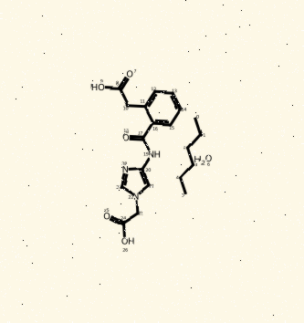 CCCCCC.O.O=C(O)Cc1ccccc1C(=O)Nc1cn(CC(=O)O)cn1